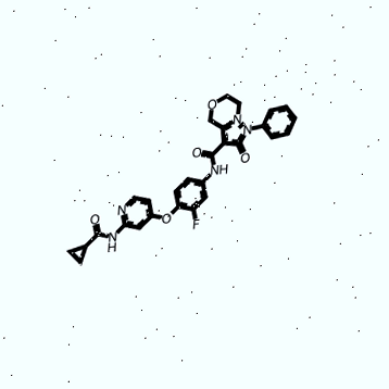 O=C(Nc1ccc(Oc2ccnc(NC(=O)C3CC3)c2)c(F)c1)c1c2n(n(-c3ccccc3)c1=O)CCOC2